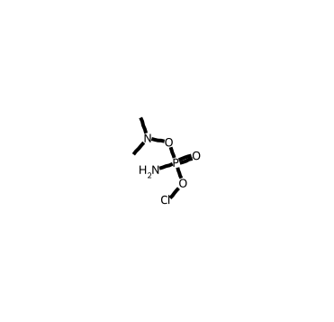 CN(C)OP(N)(=O)OCl